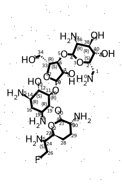 NC[C@@H]1OC(O[C@H]2[C@@H](O)[C@H](O[C@@H]3[C@@H](O)[C@H](N)C[C@H](N)[C@H]3O[C@H]3O[C@H]([C@H](N)CF)CC[C@H]3N)O[C@@H]2CO)[C@H](N)[C@@H](O)[C@@H]1O